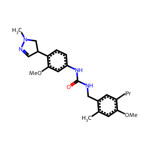 COc1cc(C)c(CNC(=O)Nc2ccc(C3C=NN(C)C3)c(OC)c2)cc1C(C)C